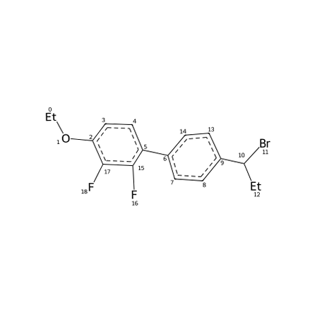 CCOc1ccc(-c2ccc(C(Br)CC)cc2)c(F)c1F